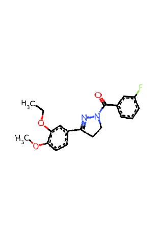 CCOc1cc(C2=NN(C(=O)c3cccc(F)c3)CC2)ccc1OC